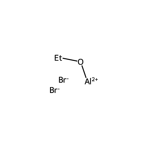 CC[O][Al+2].[Br-].[Br-]